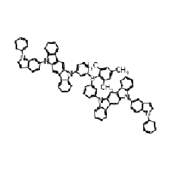 Cc1cc(C)c(B(c2cccc(-n3c4ccccc4c4cc5c(cc43)c3ccccc3n5-c3ccc4c(ccn4-c4ccccc4)c3)c2)c2cccc(-n3c4ccccc4c4cc5c(cc43)c3ccccc3n5-c3ccc4ccn(-c5ccccc5)c4c3)c2)c(C)c1